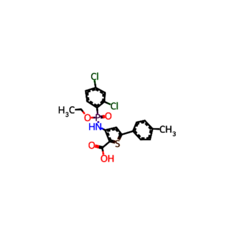 CCOP(=O)(Nc1cc(-c2ccc(C)cc2)sc1C(=O)O)c1ccc(Cl)cc1Cl